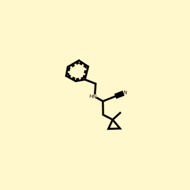 CC1(CC(C#N)NCc2ccccc2)CC1